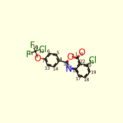 O=c1oc(-c2ccc(OC(F)(F)Cl)cc2)nc2cccc(Cl)c12